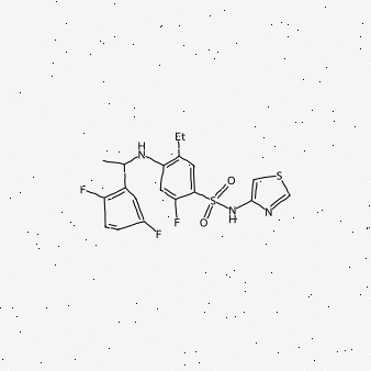 CCc1cc(S(=O)(=O)Nc2cscn2)c(F)cc1NC(C)c1cc(F)ccc1F